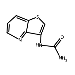 NC(=O)Nc1csc2cccnc12